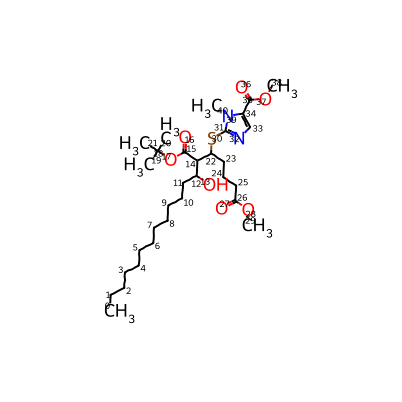 CCCCCCCCCCCCC(O)C(C(=O)OC(C)(C)C)C(CCCC(=O)OC)Sc1ncc(C(=O)OC)n1C